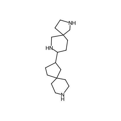 C1CC2(CCN1)CCC(C1CCC3(CCNC3)CN1)C2